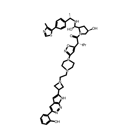 Cc1ncsc1-c1ccc([C@H](C)N[C@H](O)C2C[C@@H](O)CN2C(=O)[C@@H](c2cc(N3CCN(CCN4CC(c5cc6cc(-c7ccccc7O)nnc6[nH]5)C4)CC3)no2)C(C)C)cc1